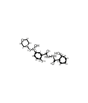 O=C(NNC(=O)c1cc(N(O)SN2CCOCC2)ccc1F)c1ccccc1O